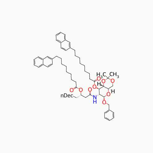 CCCCCCCCCCC[C@@H](CC(=O)N[C@H]1[C@H](OCc2ccccc2)O[C@@H]2COC(C)(C)O[C@H]2[C@@H]1OC(=O)CCCCCCCCc1ccc2ccccc2c1)OC(=O)CCCCCCCCc1ccc2ccccc2c1